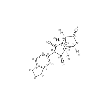 O=C1C[C@@H]2CC[C@H]1[C@@H]1C(=O)N(c3ccc4c(c3)CCC4)C(=O)[C@H]21